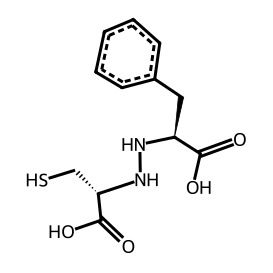 O=C(O)[C@H](CS)NN[C@@H](Cc1ccccc1)C(=O)O